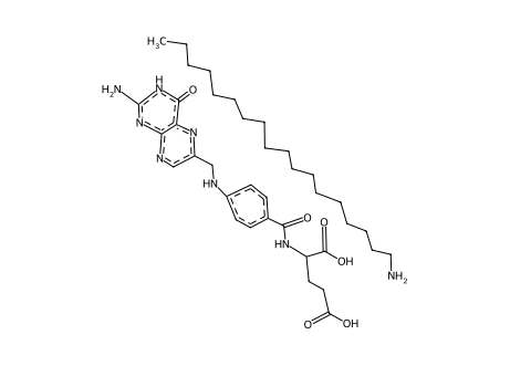 CCCCCCCCCCCCCCCCCCN.Nc1nc2ncc(CNc3ccc(C(=O)NC(CCC(=O)O)C(=O)O)cc3)nc2c(=O)[nH]1